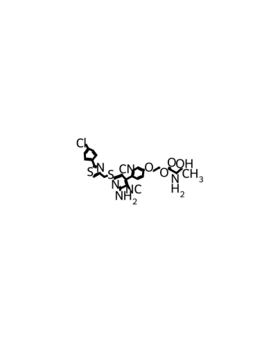 [C-]#[N+]c1c(N)nc(SCc2csc(-c3ccc(Cl)cc3)n2)c(C#N)c1-c1ccc(OCCOC(=O)[C@@H](N)C(C)O)cc1